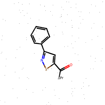 CCCC(=O)c1cc(-c2ccccc2)ns1